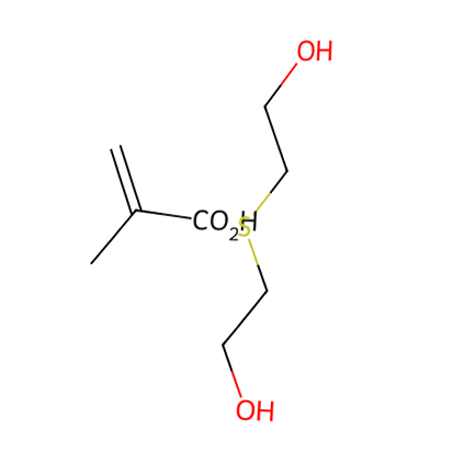 C=C(C)C(=O)O.OCCSCCO